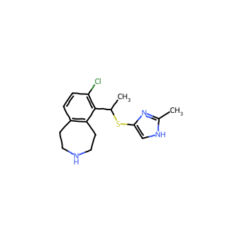 Cc1nc(SC(C)c2c(Cl)ccc3c2CCNCC3)c[nH]1